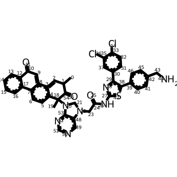 CC1C=c2c(ccc3c2=CC(=O)c2ccccc2-3)C(C)(N2CN(CC(=O)Nc3nc(-c4ccc(Cl)c(Cl)c4)c(-c4ccc(CN)cc4)s3)c3cncnc32)C1=O